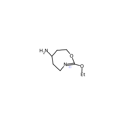 CCO/C1=N\CCC(N)CCO1